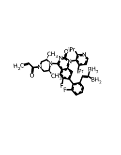 BC(B)=Cc1cccc(F)c1-c1cc2c(cc1F)c(N1[C@@H](C)CN(C(=O)C=C)C[C@@H]1C)nc(=O)n2-c1c(C(C)C)ccnc1C(C)C